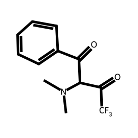 CN(C)C(C(=O)c1ccccc1)C(=O)C(F)(F)F